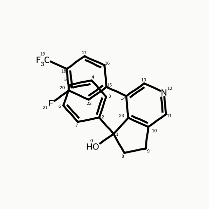 OC1(c2ccccc2)CCc2cncc(-c3ccc(C(F)(F)F)c(F)c3)c21